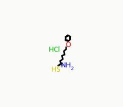 Cl.N[C@H](CS)CCCCCCCOc1ccccc1